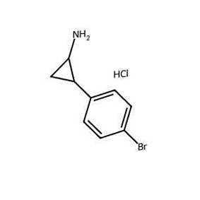 Cl.NC1CC1c1ccc(Br)cc1